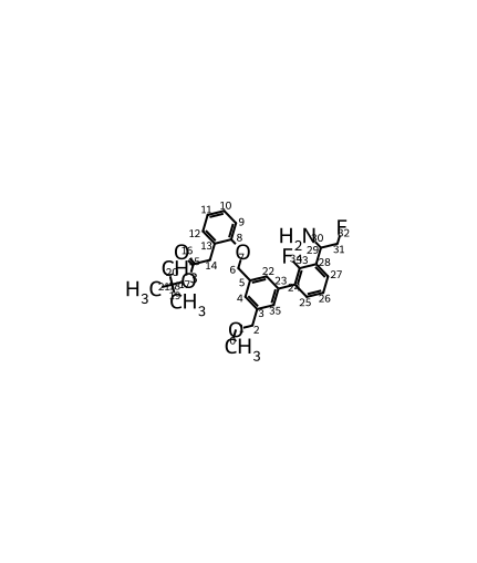 COCc1cc(COc2ccccc2CC(=O)OC(C)(C)C)cc(-c2cccc(C(N)CF)c2F)c1